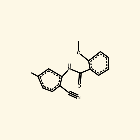 COc1ccccc1C(=O)Nc1cc(C)ccc1C#N